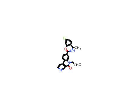 C[C@@H](NC(=O)c1ccc2c3ccncc3c(=O)n(CC=O)c2c1)c1ccc(F)cc1